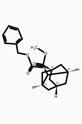 COC(=O)[C@]12C[C@@H]3C[C@H](C1)C(NC(=O)OCc1ccccc1)[C@@H](C3)C2